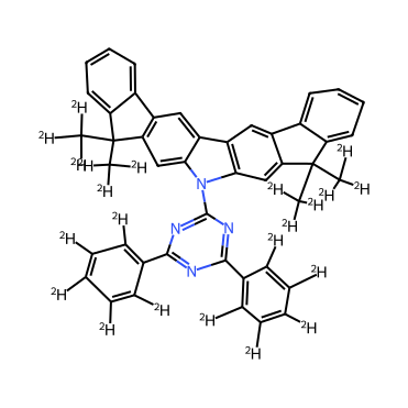 [2H]c1c([2H])c([2H])c(-c2nc(-c3c([2H])c([2H])c([2H])c([2H])c3[2H])nc(-n3c4cc5c(cc4c4cc6c(cc43)C(C([2H])([2H])[2H])(C([2H])([2H])[2H])c3ccccc3-6)-c3ccccc3C5(C([2H])([2H])[2H])C([2H])([2H])[2H])n2)c([2H])c1[2H]